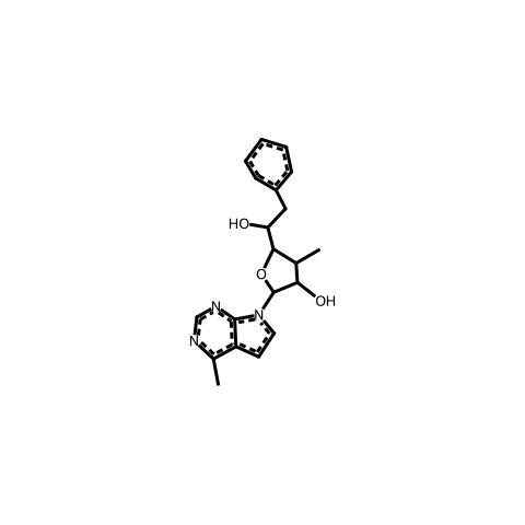 Cc1ncnc2c1ccn2C1OC(C(O)Cc2ccccc2)C(C)C1O